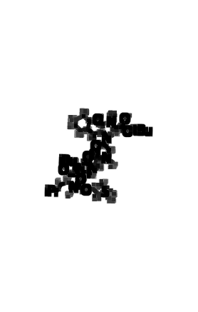 CC[C@H](C)[C@H](NC(=O)[C@H](CC(C)C)N(C)C(=O)OCCS(C)(C)C)C(=O)N(C)CC(=O)N(C)CC(=O)N(C)[C@@H](CC1CCCCC1)C(=O)N(C)CC(=O)OC(C)(C)C